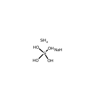 O[Si](O)(O)O.[NaH].[SiH4]